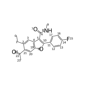 CCc1cc2c(C(=O)NC)c(-c3ccc(F)cc3)oc2cc1C(C)=O